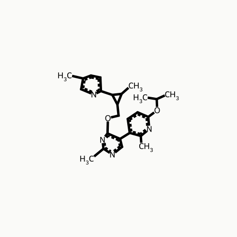 Cc1ccc(C2C(C)C2COc2nc(C)ncc2-c2ccc(OC(C)C)nc2C)nc1